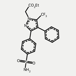 CCOC(=O)Cn1nc(-c2ccc(S(N)(=O)=O)cc2)c(-c2ccccc2)c1C(F)(F)F